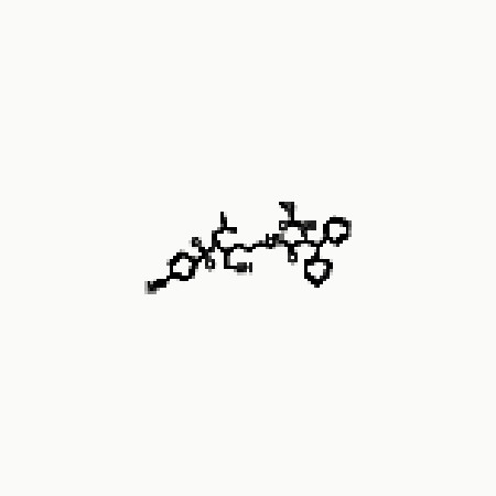 COC(=O)N[C@H](C(=O)NCCCCC(CO)N(CC(C)C)S(=O)(=O)c1ccc(C#N)cc1)C(c1ccccc1)c1ccccc1